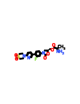 C[C@@H](N)C(=O)OC[C@H]1CN(c2ccc(-c3ccc(N4CCS(=O)(=O)CC4)nc3)c(F)c2)C(=O)O1